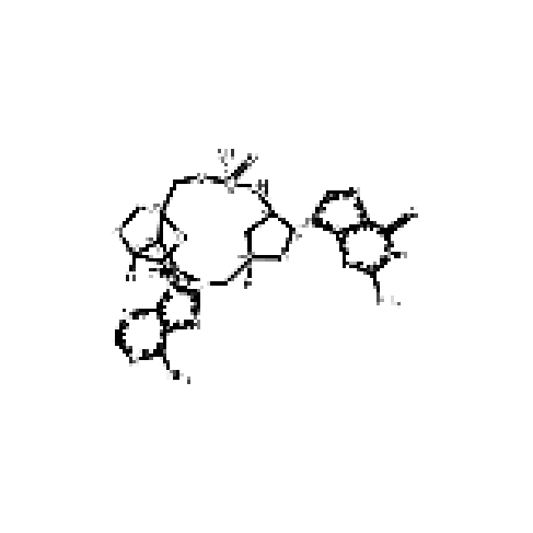 Nc1nc2c(ncn2[C@@H]2O[C@@H]3COP(=O)(O)[C@H]4[C@H]5OC[C@]4(CO[P@](=O)(S)O[C@@H]2C3)O[C@H]5n2cnc3c(N)ncnc32)c(=O)[nH]1